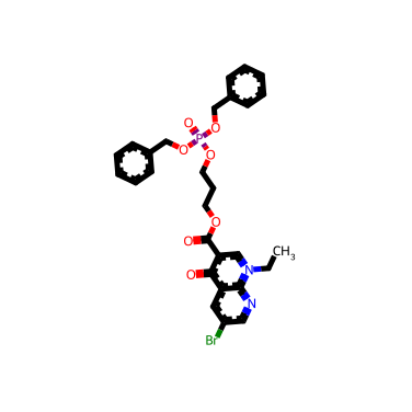 CCn1cc(C(=O)OCCCOP(=O)(OCc2ccccc2)OCc2ccccc2)c(=O)c2cc(Br)cnc21